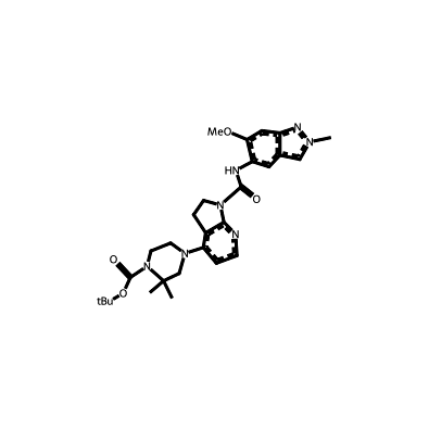 COc1cc2nn(C)cc2cc1NC(=O)N1CCc2c(N3CCN(C(=O)OC(C)(C)C)C(C)(C)C3)ccnc21